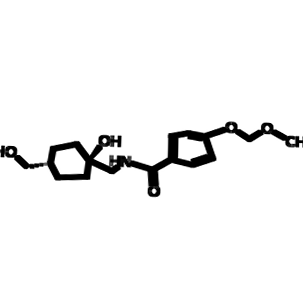 COCOc1ccc(C(=O)NC[C@]2(O)CC[C@H](CO)CC2)cc1